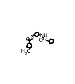 Cc1ccc(C(=O)CO[C@H]2CC[C@H](NC(=O)OCc3ccccc3)C2)cc1